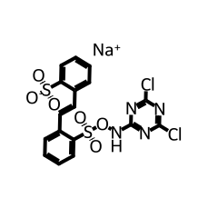 O=S(=O)([O-])c1ccccc1C=Cc1ccccc1S(=O)(=O)ONc1nc(Cl)nc(Cl)n1.[Na+]